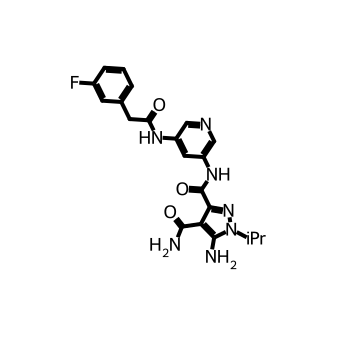 CC(C)n1nc(C(=O)Nc2cncc(NC(=O)Cc3cccc(F)c3)c2)c(C(N)=O)c1N